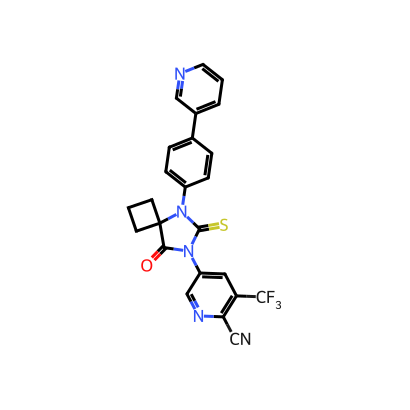 N#Cc1ncc(N2C(=O)C3(CCC3)N(c3ccc(-c4cccnc4)cc3)C2=S)cc1C(F)(F)F